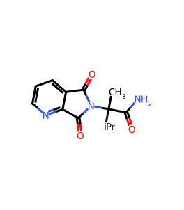 CC(C)C(C)(C(N)=O)N1C(=O)c2cccnc2C1=O